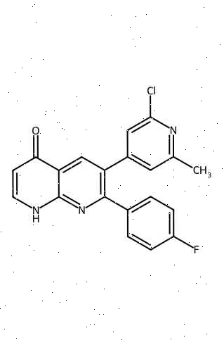 Cc1cc(-c2cc3c(=O)cc[nH]c3nc2-c2ccc(F)cc2)cc(Cl)n1